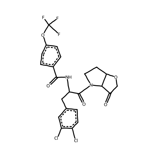 O=C(NC(Cc1ccc(Cl)c(Cl)c1)C(=O)N1CCC2OCC(=O)C21)c1ccc(OC(F)(F)F)cc1